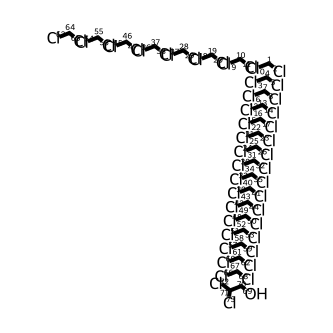 ClCCl.ClCCl.ClCCl.ClCCl.ClCCl.ClCCl.ClCCl.ClCCl.ClCCl.ClCCl.ClCCl.ClCCl.ClCCl.ClCCl.ClCCl.ClCCl.ClCCl.ClCCl.ClCCl.ClCCl.ClCCl.ClCCl.ClCCl.OCC(Cl)Cl